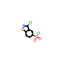 O=S(=O)(Cl)c1ccc2snc(Cl)c2c1